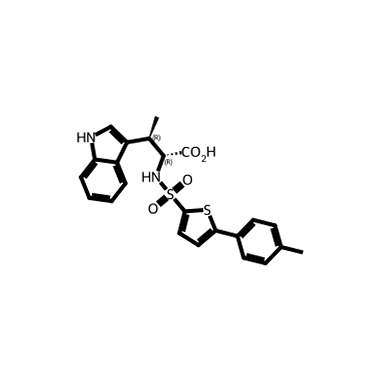 Cc1ccc(-c2ccc(S(=O)(=O)N[C@@H](C(=O)O)[C@H](C)c3c[nH]c4ccccc34)s2)cc1